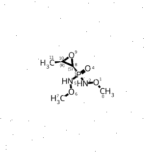 CONP(=O)(NOC)[C@@H]1O[C@@H]1C